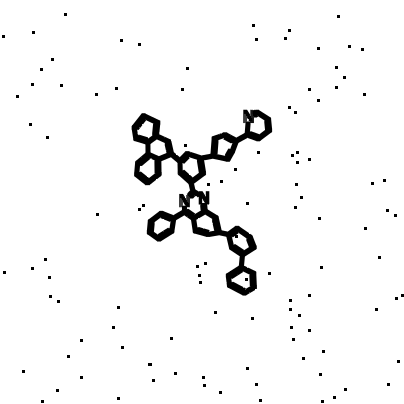 c1ccc(-c2cccc(-c3ccc4c(-c5ccccc5)nc(-c5cc(-c6ccc(-c7ccccn7)cc6)cc(-c6cc7ccccc7c7ccccc67)c5)nc4c3)c2)cc1